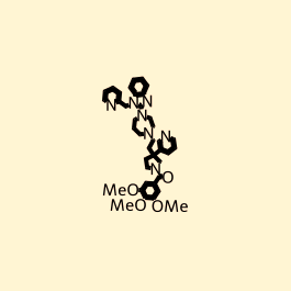 COc1cc(C(=O)N2CCC(CCN3CCCN(c4nc5ccccc5n4Cc4ccccn4)CC3)(c3cccnc3)C2)cc(OC)c1OC